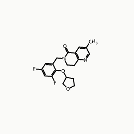 Cc1cnc2c(c1)C(=O)N(Cc1cc(F)cc(F)c1OC1CCOC1)CC2